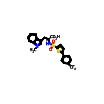 Cn1cc(C[C@@H](NS(=O)(=O)c2ccc(-c3ccc(C(F)(F)F)cc3)s2)C(=O)O)c2ccccc21